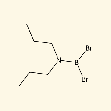 CCCN(CCC)B(Br)Br